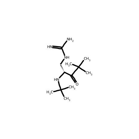 CC(C)(C)N[C@H](CNC(=N)N)C(=O)C(C)(C)C